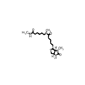 CNC(=O)CCCCCN(C)C(=O)CCCC[C@@H]1SC[C@@H]2NC(=O)N(C)[C@@H]21